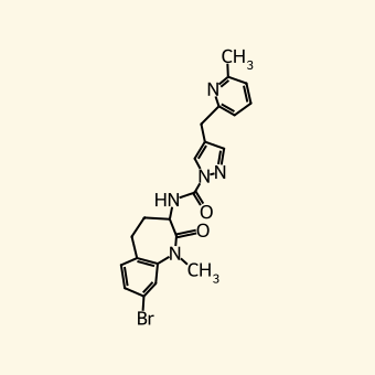 Cc1cccc(Cc2cnn(C(=O)NC3CCc4ccc(Br)cc4N(C)C3=O)c2)n1